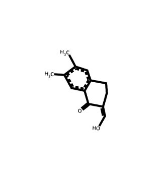 Cc1cc2c(cc1C)C(=O)C(=CO)CC2